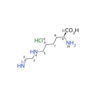 Cl.N=CCNCCCC[C@H](N)C(=O)O